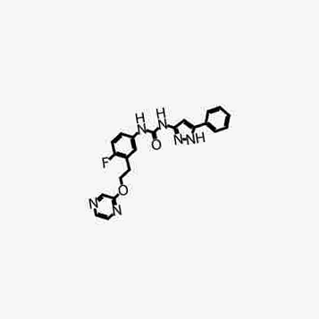 O=C(Nc1ccc(F)c(CCOc2cnccn2)c1)Nc1cc(-c2ccccc2)[nH]n1